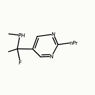 CCCc1ncc(C(C)(F)PC)cn1